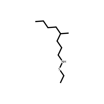 CCCCC(C)CCCNSCC